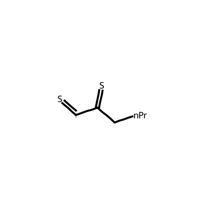 CCCCC(=S)[C]=S